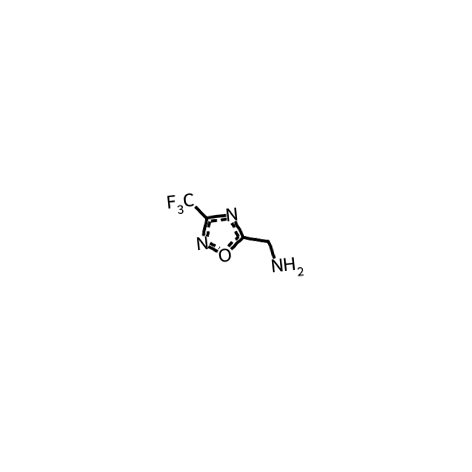 NCc1nc(C(F)(F)F)no1